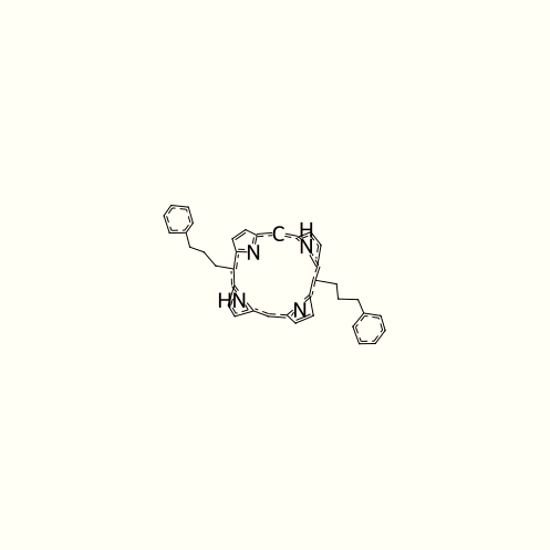 C1=Cc2nc1cc1ccc([nH]1)c(CCCc1ccccc1)c1nc(cc3ccc([nH]3)c2CCCc2ccccc2)C=C1